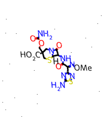 CON=C(C(=O)NC1C(=O)N2CC(COC(N)=O)(C(=O)O)CS[C@H]12)c1nsc(N)n1